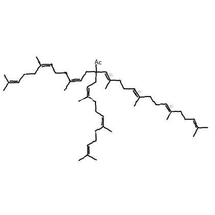 CC(=O)C(/C=C(\C)CC/C=C(\C)CC/C=C(\C)CCC=C(C)C)(CC=C(C)CCC=C(C)CCC=C(C)C)CC=C(C)CCC=C(C)CCC=C(C)C